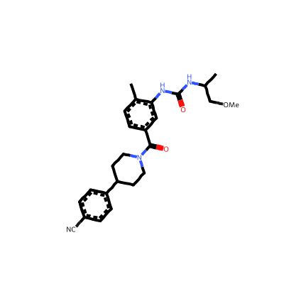 COCC(C)NC(=O)Nc1cc(C(=O)N2CCC(c3ccc(C#N)cc3)CC2)ccc1C